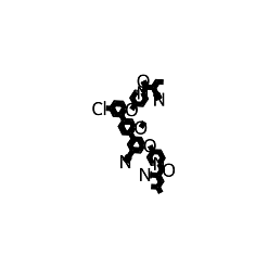 C/C=C(\C#N)C(=O)N1CCC(Oc2ccc(Cl)cc2-c2ccc(-c3cc(C#N)cc(OC4CCN(C(=O)/C(C#N)=C/C(C)C)CC4)c3)c(OC)c2)CC1